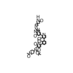 COc1nc(-c2cccc(-c3ccnc(-c4cc(OC)c5nc(CN6CC7(CNC(=O)C7)C6)nn5c4)c3Cl)c2Cl)ccc1CN(C(=O)OC(C)(C)C)C1CCN(C(C)=O)CC1